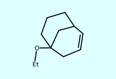 CCOC12CC=CC(CCC1)C2